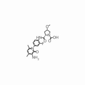 CO[C@@H]1C[C@H](C(=O)Nc2ccc(-n3c(C)cc(C)c(N)c3=O)cc2F)N(C(=O)O)C1